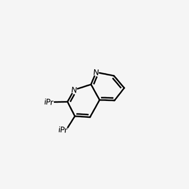 CC(C)c1cc2cccnc2nc1C(C)C